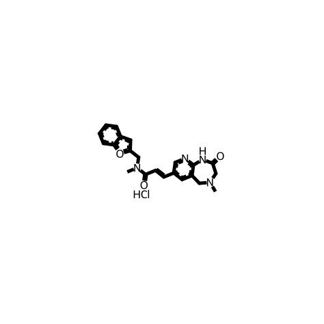 CN1CC(=O)Nc2ncc(/C=C/C(=O)N(C)Cc3cc4ccccc4o3)cc2C1.Cl